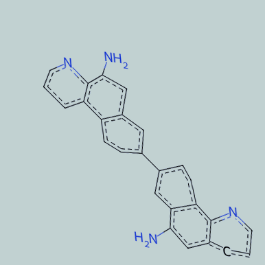 Nc1cc2cccnc2c2ccc(-c3ccc4c(c3)cc(N)c3ncccc34)cc12